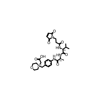 CC(C)[C@H](NC(=O)CCN1C(=O)C=CC1=O)C(=O)N[C@@H](C)C(=O)Nc1ccc(C[N+]2(CC(=O)O)CCOCC2)cc1